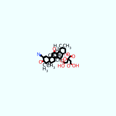 CC1(C)CC[C@]2(B3OC(=O)C(CC(=O)O)(CC(=O)O)O3)CC[C@]3(C)[C@H](C(=O)C=C4[C@@]5(C)C=C(C#N)C(=O)C(C)(C)[C@@H]5CC[C@]43C)[C@@H]2C1